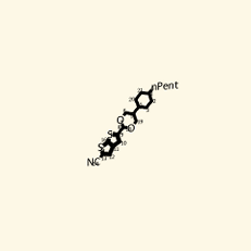 CCCCCC1CCC(C2COC(c3cc4cc(C#N)sc4s3)OC2)CC1